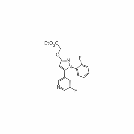 CCOC(=O)COc1cc(-c2cncc(F)c2)n(-c2ccccc2F)n1